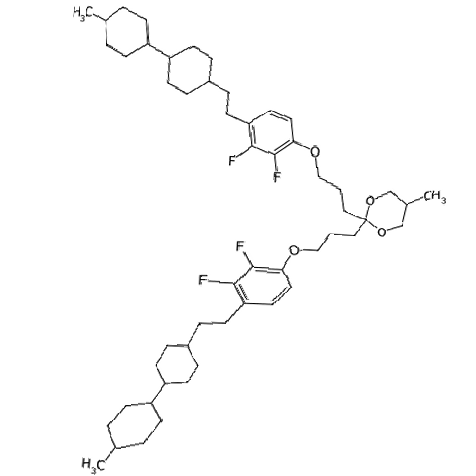 CC1CCC(C2CCC(CCc3ccc(OCCCC4(CCCOc5ccc(CCC6CCC(C7CCC(C)CC7)CC6)c(F)c5F)OCC(C)CO4)c(F)c3F)CC2)CC1